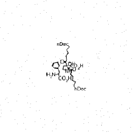 CCCCCCCCCCCCCCCC(=O)C1(O)CCN[C@@]1(C(=O)O)C(=O)CCCCCCCCCCCCCCC.N[C@@H](Cc1ccccc1)C(=O)O